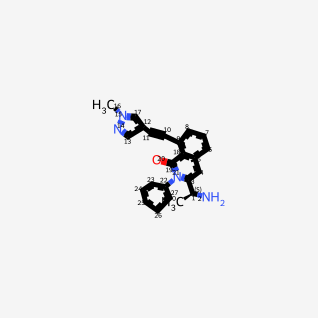 C[C@H](N)c1cc2cccc(C#Cc3cnn(C)c3)c2c(=O)n1-c1ccccc1